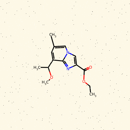 CCOC(=O)c1cn2cc(C)cc(C(C)OC)c2n1